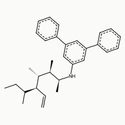 C=C[C@@H](C(C)CC)[C@H](C)[C@@H](C)[C@H](C)Nc1cc(-c2ccccc2)cc(-c2ccccc2)c1